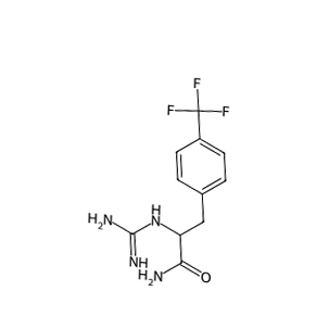 N=C(N)NC(Cc1ccc(C(F)(F)F)cc1)C(N)=O